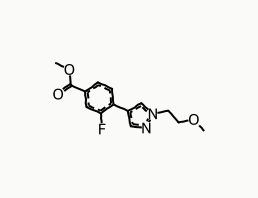 COCCn1cc(-c2ccc(C(=O)OC)cc2F)cn1